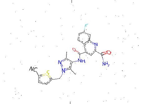 Cc1nn(Cc2ccc(C#N)s2)c(C)c1NC(=O)c1cc(C(N)=O)nc2cc(F)ccc12